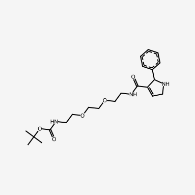 CC(C)(C)OC(=O)NCCOCCOCCNC(=O)C1=CCNC1c1ccccc1